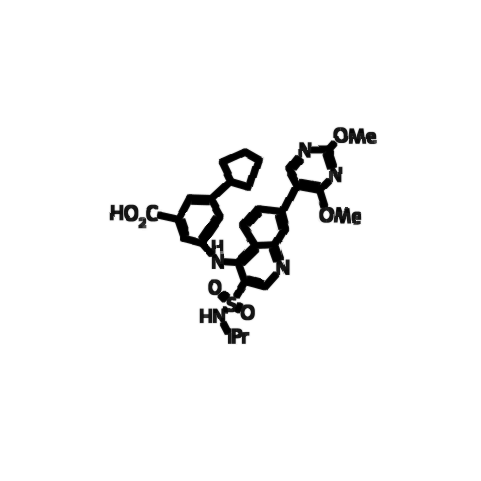 COc1ncc(-c2ccc3c(Nc4cc(C(=O)O)cc(C5CCCC5)c4)c(S(=O)(=O)NC(C)C)cnc3c2)c(OC)n1